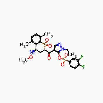 CCn1ncc(C(=O)C2C/C(=N\OC)c3c(C)ccc(C)c3S2(=O)=O)c1OS(=O)(=O)c1ccc(F)c(F)c1